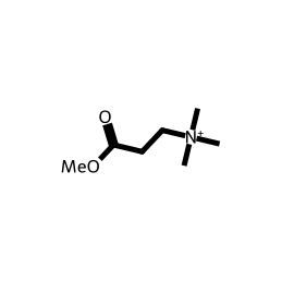 COC(=O)CC[N+](C)(C)C